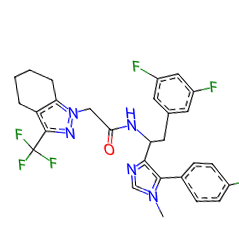 Cn1cnc(C(Cc2cc(F)cc(F)c2)NC(=O)Cn2nc(C(F)(F)F)c3c2CCCC3)c1-c1ccc(Cl)cc1